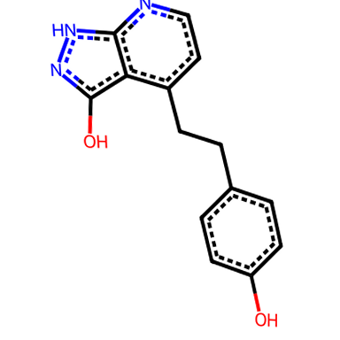 Oc1ccc(CCc2ccnc3[nH]nc(O)c23)cc1